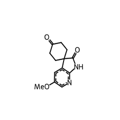 COc1cnc2c(c1)C1(CCC(=O)CC1)C(=O)N2